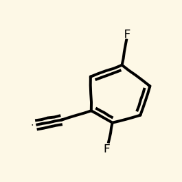 [C]#Cc1cc(F)ccc1F